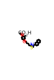 Cc1cc(OCCCCc2nc(-c3ccc4ccccc4c3)cs2)ccc1OCC(=O)O